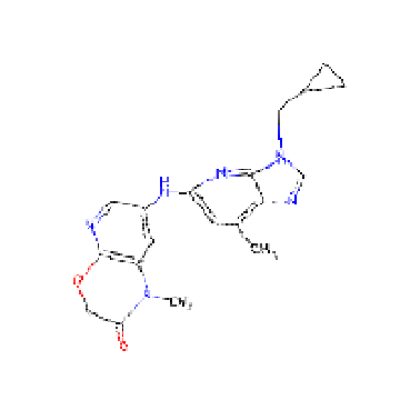 Cc1cc(Nc2cnc3c(c2)N(C)C(=O)CO3)nc2c1ncn2CC1CC1